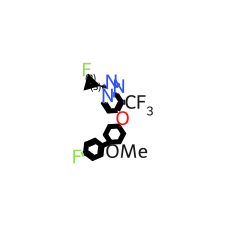 CO[C@]1(c2ccc(F)cc2)CC[C@H](Oc2ccn3c([C@@H]4C[C@H]4F)nnc3c2C(F)(F)F)CC1